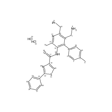 Cc1ccc(-c2c(CN)c(CC(C)C)nc(C)c2NC(=O)c2csc(-c3ccccc3)n2)cc1.Cl.Cl